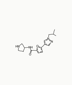 CC(C)Cn1cc(-c2ccc(C(=O)NC3CCNC3)o2)cn1